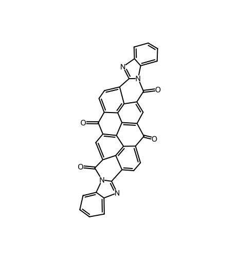 O=c1c2ccc3c4c(cc5c(=O)c6ccc7c8c(cc1c(c68)c5c24)c(=O)n1c2ccccc2nc71)c(=O)n1c2ccccc2nc31